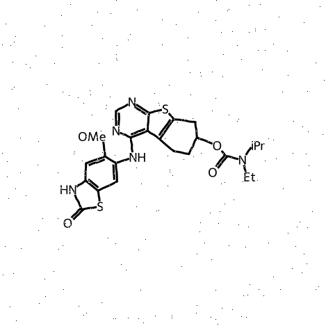 CCN(C(=O)OC1CCc2c(sc3ncnc(Nc4cc5sc(=O)[nH]c5cc4OC)c23)C1)C(C)C